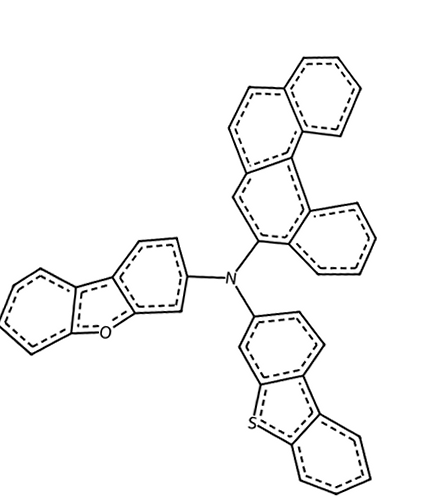 c1ccc2c(c1)ccc1cc(N(c3ccc4c(c3)oc3ccccc34)c3ccc4c(c3)sc3ccccc34)c3ccccc3c12